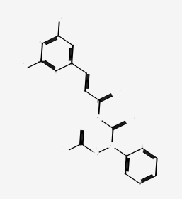 CC(=O)NN(C(=S)NC(=O)C=Cc1cc(Br)cc(Br)c1)c1ccccc1